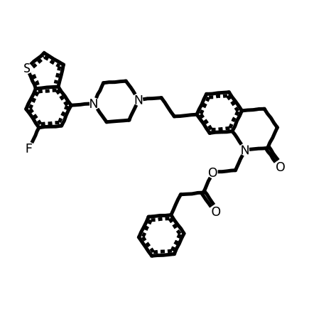 O=C(Cc1ccccc1)OCN1C(=O)CCc2ccc(CCN3CCN(c4cc(F)cc5sccc45)CC3)cc21